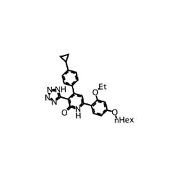 CCCCCCOc1ccc(-c2cc(-c3ccc(C4CC4)cc3)c(-c3nnn[nH]3)c(=O)[nH]2)c(OCC)c1